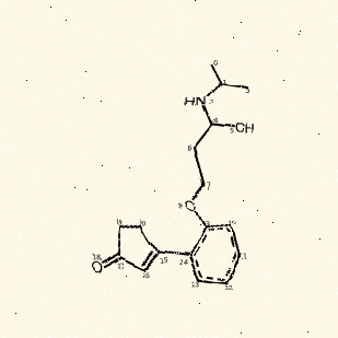 CC(C)NC(O)CCOc1ccccc1C1=CC(=O)CC1